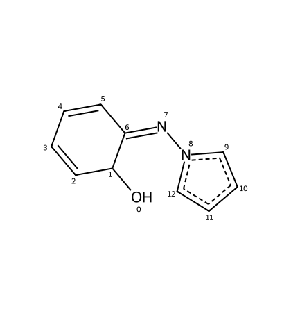 OC1C=CC=CC1=Nn1cccc1